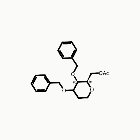 CC(=O)OC[C@H]1OCCC(OCc2ccccc2)[C@H]1OCc1ccccc1